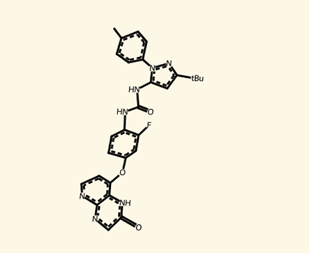 Cc1ccc(-n2nc(C(C)(C)C)cc2NC(=O)Nc2ccc(Oc3ccnc4ncc(=O)[nH]c34)cc2F)cc1